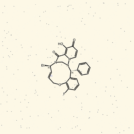 CC[C@@H]1/C=C/COc2c(F)cccc2[C@@H](c2ccccc2)N2CN1C(=O)c1c(O)c(=O)ccn12